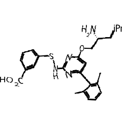 Cc1cccc(C)c1-c1cc(OC[C@H](N)CC(C)C)nc(NSc2cccc(C(=O)O)c2)n1